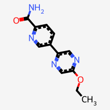 CCOc1cnc(-c2ccc(C(N)=O)nc2)cn1